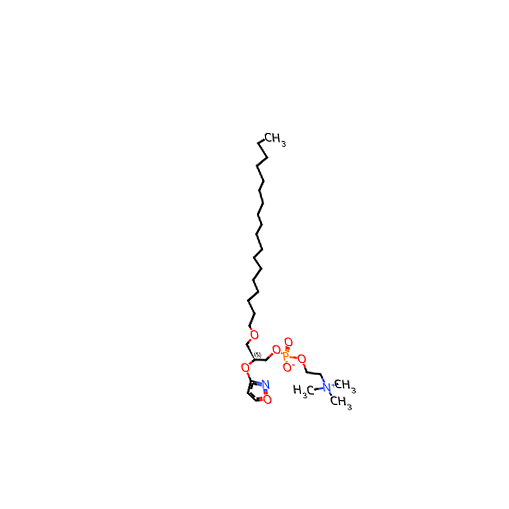 CCCCCCCCCCCCCCCCCCOC[C@@H](COP(=O)([O-])OCC[N+](C)(C)C)Oc1ccon1